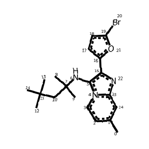 Cc1ccn2c(NC(C)(C)CC(C)(C)C)c(-c3ccc(Br)o3)nc2c1